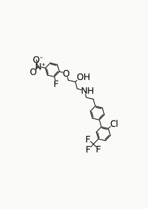 O=[N+]([O-])c1ccc(OCC(O)CNCCc2ccc(-c3cc(C(F)(F)F)ccc3Cl)cc2)c(F)c1